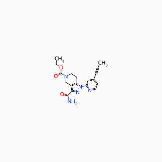 CC#Cc1ccnc(-n2nc(C(N)=O)c3c2CCN(C(=O)OCC)C3)c1